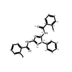 Cc1ccccc1C(=O)Nc1nc(NC(=O)c2ccccc2C)n(-c2ccccc2)n1